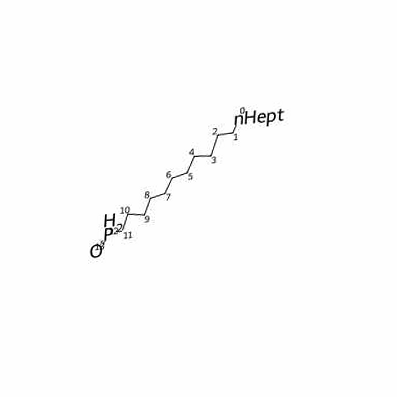 CCCCCCCCCCCCCCCCCC[PH2]=O